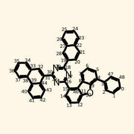 c1ccc(-c2cccc3c2oc2cccc(-c4nc(-c5ccc6ccccc6c5)nc(-c5cc6ccccc6c6ccccc56)n4)c23)cc1